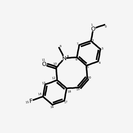 COc1ccc2c(c1)N(C)C(=O)c1cc(F)ccc1C#C2